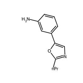 CCCc1ncc(-c2cccc(N)c2)o1